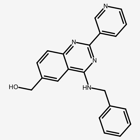 OCc1ccc2nc(-c3cccnc3)nc(NCc3ccccc3)c2c1